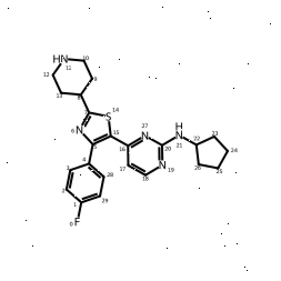 Fc1ccc(-c2nc(C3CCNCC3)sc2-c2ccnc(NC3CCCC3)n2)cc1